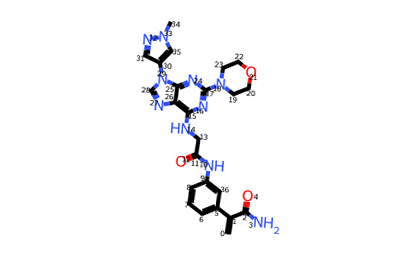 C=C(C(N)=O)c1cccc(NC(=O)CNc2nc(N3CCOCC3)nc3c2ncn3-c2cnn(C)c2)c1